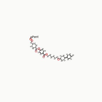 [CH2+][CH-]CCCOOCC1CCC(C(=O)Oc2ccc(C(=O)OCCCCCCOC3CCC(c4ccc(C)cc4)CC3)cc2)CC1